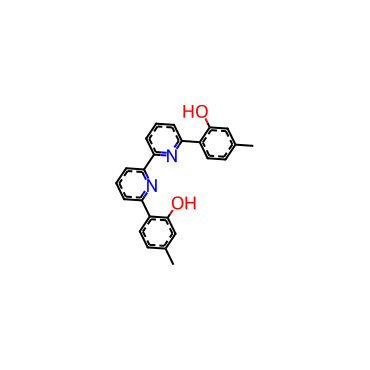 Cc1ccc(-c2cccc(-c3cccc(-c4ccc(C)cc4O)n3)n2)c(O)c1